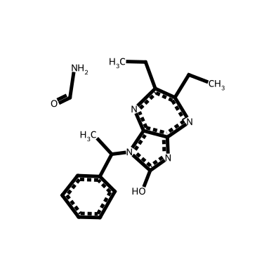 CCc1nc2nc(O)n(C(C)c3ccccc3)c2nc1CC.NC=O